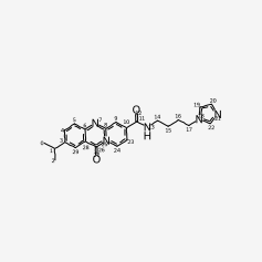 CC(C)c1ccc2nc3cc(C(=O)NCCCCn4ccnc4)ccn3c(=O)c2c1